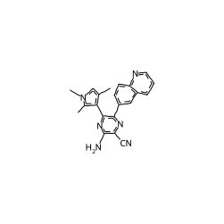 Cc1cn(C)c(C)c1-c1nc(N)c(C#N)nc1-c1ccc2ncccc2c1